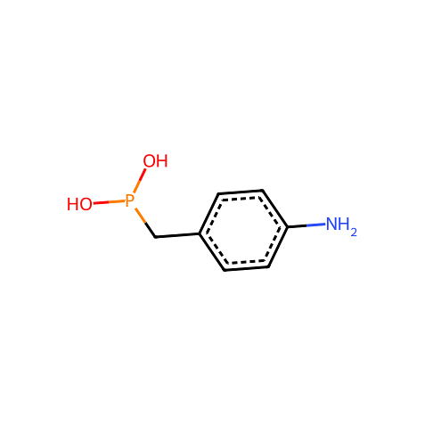 Nc1ccc(CP(O)O)cc1